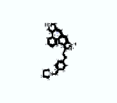 C(=Cc1n[nH]c2cc(/C=C3/CNCC3c3ccccc3)ccc12)c1ccc(CN2CCCC2)cc1